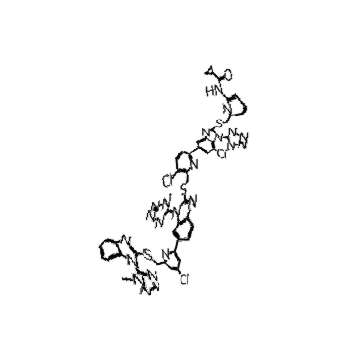 Cn1nnnc1-n1c(SCc2cc(Cl)cc(-c3ccc4nc(SCc5nc(-c6cc(Cl)c7c(c6)nc(SCc6cccc(NC(=O)C8CC8)n6)n7-c6nnnn6C)ccc5Cl)n(-c5nnnn5C)c4c3)n2)nc2ccccc21